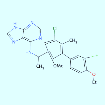 CCOc1ccc(-c2c(C)c(Cl)cc(C(C)Nc3ncnc4[nH]cnc34)c2OC)cc1F